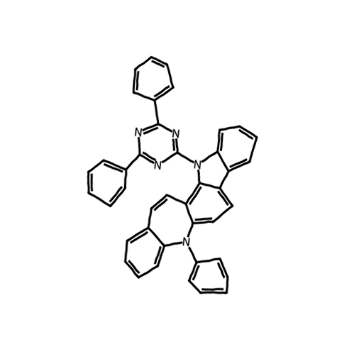 C1=Cc2c(ccc3c4ccccc4n(-c4nc(-c5ccccc5)nc(-c5ccccc5)n4)c23)N(c2ccccc2)c2ccccc21